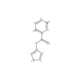 O=C(Cc1ccsc1)c1cnccn1